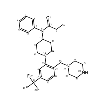 CCC(=O)N(c1ccccc1)C1CCN(c2cc(C(F)(F)F)ccc2CN2CCNCC2)CC1